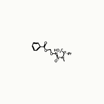 CC(C)[C@@H](C(=O)O)N(C)[N+]([O-])=NOCOC(=O)c1ccccc1